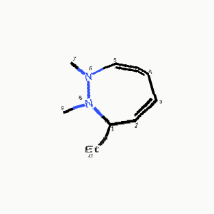 CCC1C=CC=CN(C)N1C